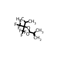 C=C(C)C(=O)OC(C(C)C)(C(F)(F)F)C(F)(F)F